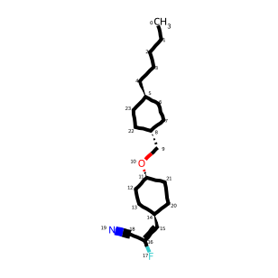 CCCCC[C@H]1CC[C@H](CO[C@H]2CC[C@H](/C=C(/F)C#N)CC2)CC1